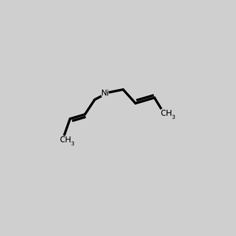 C/C=C/[CH2][Ni][CH2]/C=C/C